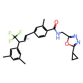 Cc1cc(C)cc(C(/C=C/c2ccc(C(=O)NCc3nnc(C4CC4)o3)c(C)c2)C(F)(F)F)c1